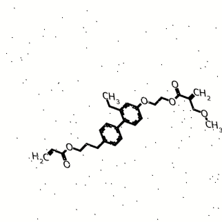 C=CC(=O)OCCCc1ccc(-c2ccc(OCCOC(=O)C(=C)COC)cc2CC)cc1